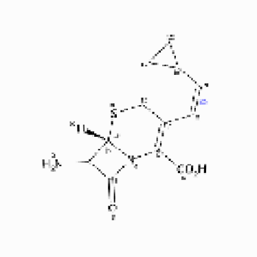 NC1C(=O)N2C(C(=O)O)=C(/C=C\C3CC3)CS[C@@H]12